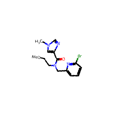 COCCN(Cc1cccc(Br)n1)C(=O)c1cn(C)cn1